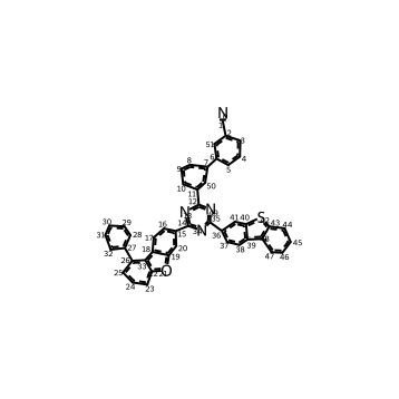 N#Cc1cccc(-c2cccc(-c3nc(-c4ccc5c(c4)oc4cccc(-c6ccccc6)c45)nc(-c4ccc5c(c4)sc4ccccc45)n3)c2)c1